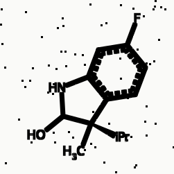 CC(C)[C@]1(C)c2ccc(F)cc2NC1O